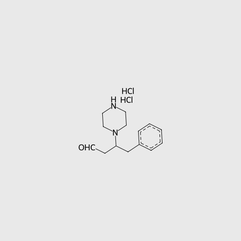 Cl.Cl.O=CCC(Cc1ccccc1)N1CCNCC1